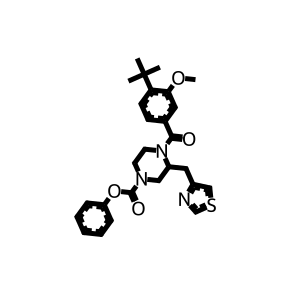 COc1cc(C(=O)N2CCN(C(=O)Oc3ccccc3)CC2Cc2cscn2)ccc1C(C)(C)C